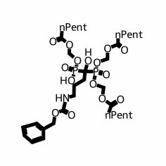 CCCCCC(=O)OCOP(=O)(O)C(O)(CCCNC(=O)OCc1ccccc1)P(=O)(OCOC(=O)CCCCC)OCOC(=O)CCCCC